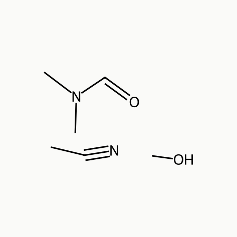 CC#N.CN(C)C=O.CO